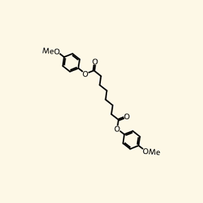 COc1ccc(OC(=O)CCCCCCC(=O)Oc2ccc(OC)cc2)cc1